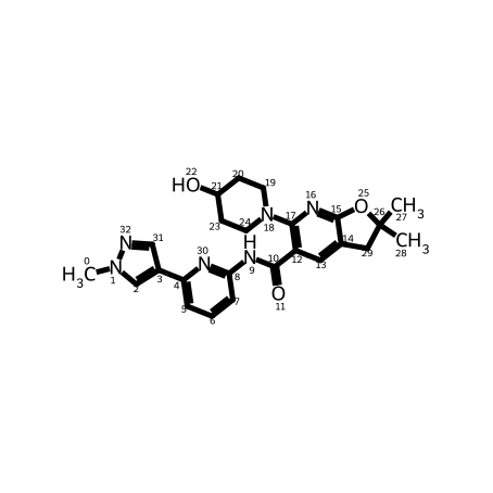 Cn1cc(-c2cccc(NC(=O)c3cc4c(nc3N3CCC(O)CC3)OC(C)(C)C4)n2)cn1